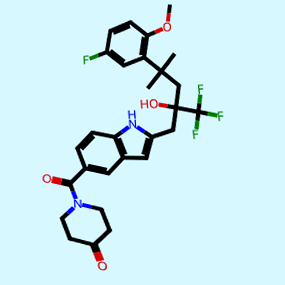 COc1ccc(F)cc1C(C)(C)CC(O)(Cc1cc2cc(C(=O)N3CCC(=O)CC3)ccc2[nH]1)C(F)(F)F